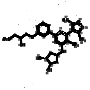 CNCC(O)COc1cccc(-c2nc(NC3C[C@@H](O)[C@H](O)C3)c(C)c(-c3c(C)noc3C)n2)c1